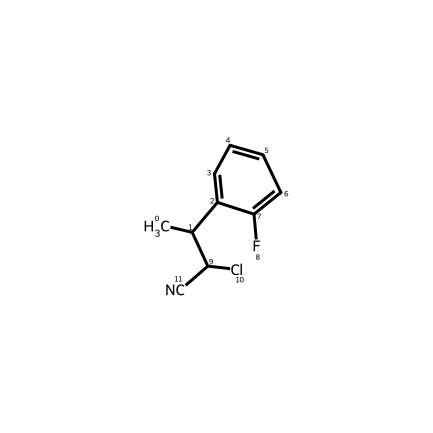 CC(c1ccccc1F)C(Cl)C#N